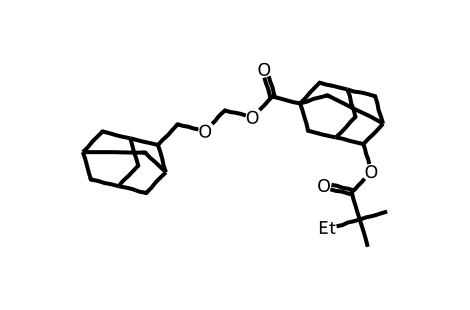 CCC(C)(C)C(=O)OC1C2CC3CC1CC(C(=O)OCOCC1C4CC5CC(C4)CC1C5)(C3)C2